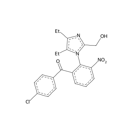 CCc1nc(CO)n(-c2c(C(=O)c3ccc(Cl)cc3)cccc2[N+](=O)[O-])c1CC